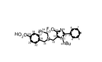 CCCCn1c(-c2ccccc2)nc(C(F)(F)F)c1CN(Cc1ccc(C(=O)O)cc1)CC(C)C